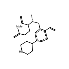 C=Cc1ccc(C2CCNCC2)cc1CN(C)C(C=C)CCC(=C)NC